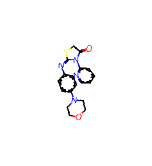 O=C1CS/C(=N/c2ccc(N3CCOCC3)cc2)N1c1ccccn1